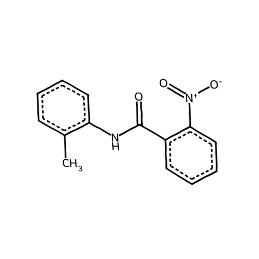 Cc1ccccc1NC(=O)c1ccccc1[N+](=O)[O-]